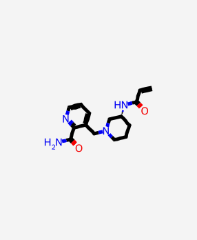 C=CC(=O)N[C@@H]1CCCN(Cc2cccnc2C(N)=O)C1